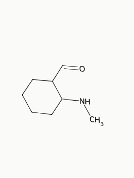 CNC1CCCCC1C=O